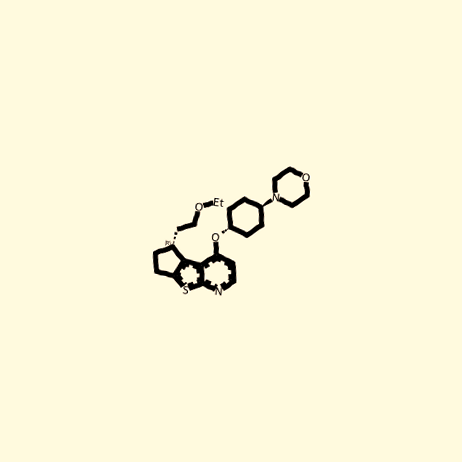 CCOCC[C@H]1CCc2sc3nccc(O[C@H]4CC[C@H](N5CCOCC5)CC4)c3c21